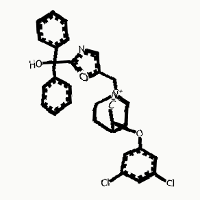 OC(c1ccccc1)(c1ccccc1)c1ncc(C[N+]23CCC(CC2)C(Oc2cc(Cl)cc(Cl)c2)C3)o1